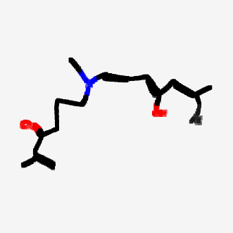 C=C(C)C(=O)CCCN(C)/C=C/C=C(O)/C=C(/C)C(C)=O